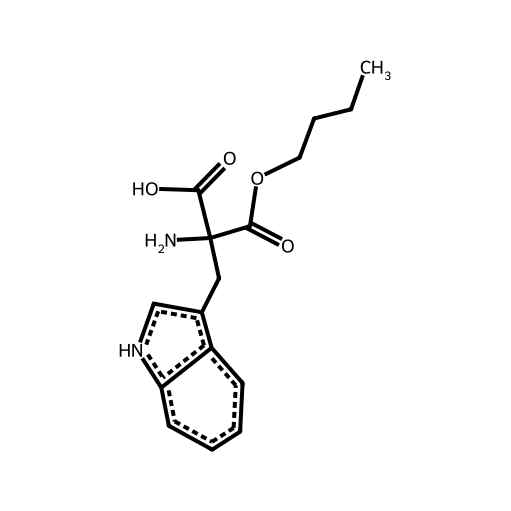 CCCCOC(=O)C(N)(Cc1c[nH]c2ccccc12)C(=O)O